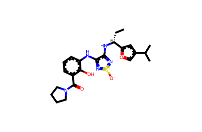 CC[C@@H](Nc1n[s+]([O-])nc1Nc1cccc(C(=O)N2CCCC2)c1O)c1cc(C(C)C)co1